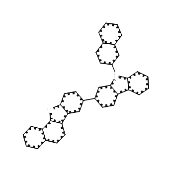 c1ccc2cc(-n3c4ccccc4c4ccc(-c5ccc6oc7c8ccccc8ccc7c6c5)cc43)ccc2c1